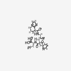 CC(C)CC(NC(=O)C1(Cc2cscn2)CC(CNC(=O)c2cccn3ccnc23)=NO1)B(O)O